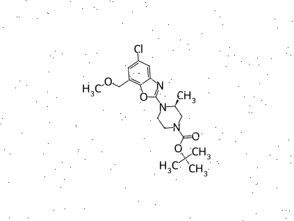 COCc1cc(Cl)cc2nc(N3CCN(C(=O)OC(C)(C)C)C[C@@H]3C)oc12